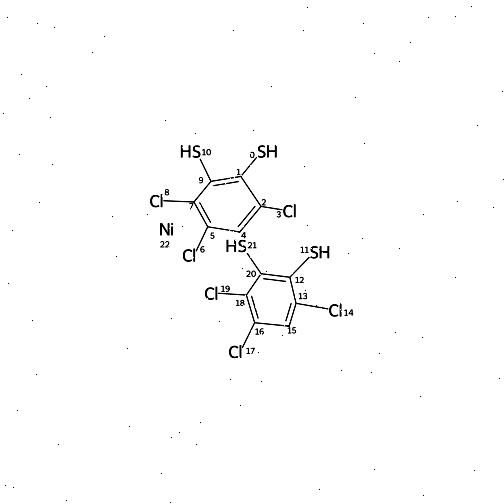 Sc1c(Cl)cc(Cl)c(Cl)c1S.Sc1c(Cl)cc(Cl)c(Cl)c1S.[Ni]